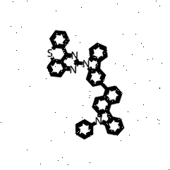 c1ccc(-n2c3ccccc3c3c4cccc(-c5ccc6c(c5)c5ccccc5n6-c5nc6c7c(cccc7n5)Sc5ccccc5-6)c4ccc32)cc1